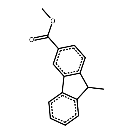 COC(=O)c1ccc2c(c1)-c1ccccc1C2C